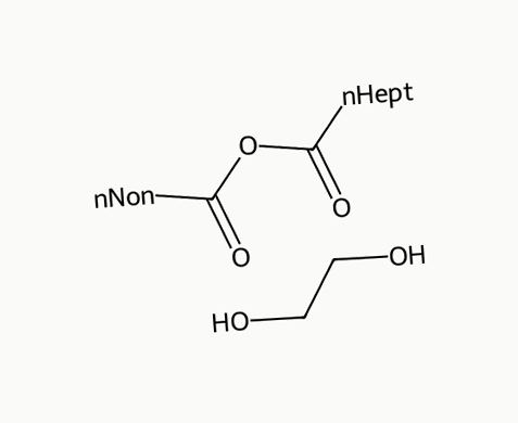 CCCCCCCCCC(=O)OC(=O)CCCCCCC.OCCO